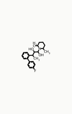 CC(c1ccccc1-c1ccc(F)cc1)C(O)C(O)N1C(C)CCCC1C